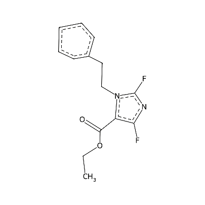 CCOC(=O)c1c(F)nc(F)n1CCc1ccccc1